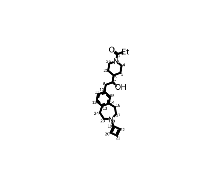 CCC(=O)N1CCC(C(O)Cc2ccc3c(c2)CCN(C2=CC=C2)CC3)CC1